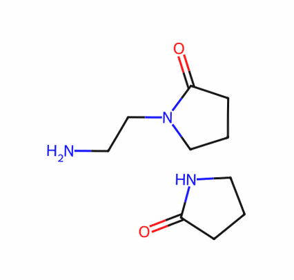 NCCN1CCCC1=O.O=C1CCCN1